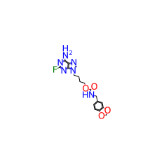 Nc1nc(F)nc2c1ncn2CCCCOC(=O)NCc1ccc2c(c1)OCO2